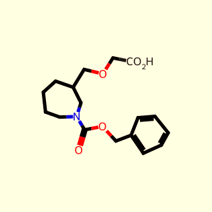 O=C(O)COCC1CCCCN(C(=O)OCc2ccccc2)C1